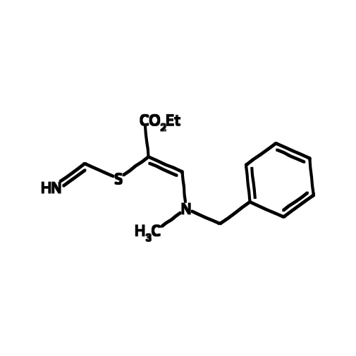 CCOC(=O)/C(=C/N(C)Cc1ccccc1)SC=N